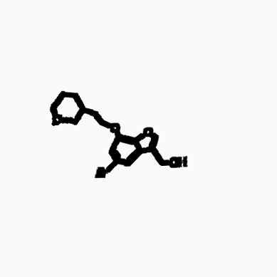 OCc1coc2c(OCCC3CCCOC3)cc(Br)cc12